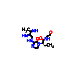 CC[C@@H](C(=O)NCC=O)N1CCN=C(NCC(=N)C(C)=N)C1=O